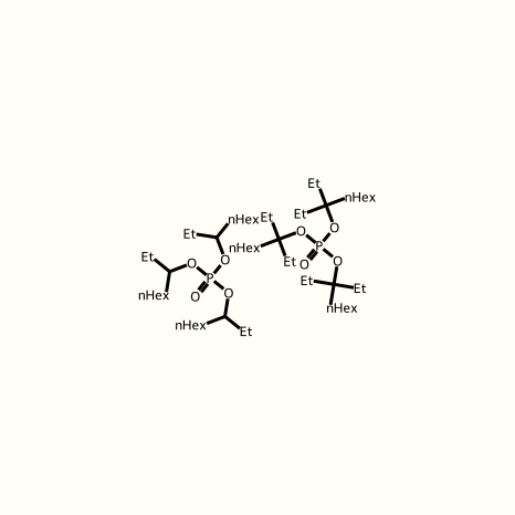 CCCCCCC(CC)(CC)OP(=O)(OC(CC)(CC)CCCCCC)OC(CC)(CC)CCCCCC.CCCCCCC(CC)OP(=O)(OC(CC)CCCCCC)OC(CC)CCCCCC